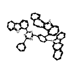 c1ccc(-c2nc(-c3ccc(-n4c5ccccc5c5cc6ccccc6cc54)c(-c4cccc5sc6c7ccccc7ccc6c45)c3)nc(-c3cccc4c3oc3ccccc34)n2)cc1